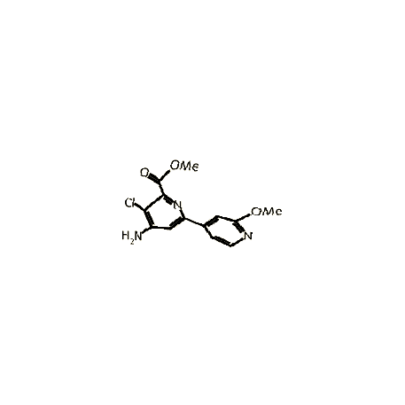 COC(=O)c1nc(-c2ccnc(OC)c2)cc(N)c1Cl